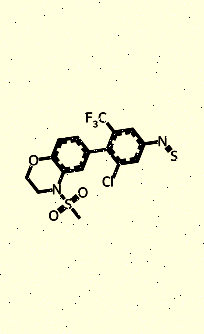 CS(=O)(=O)N1CCOc2ccc(-c3c(Cl)cc(N=S)cc3C(F)(F)F)cc21